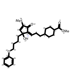 COC(=O)C1CCC(CC/C=C2\C(=O)C(SC)=CC2(O)CCCCOc2ccccc2)CC1